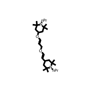 CCCN1C(C)(C)CC(C=COCC=COC2CC(C)(C)N(CCC)C(C)(C)C2)CC1(C)C